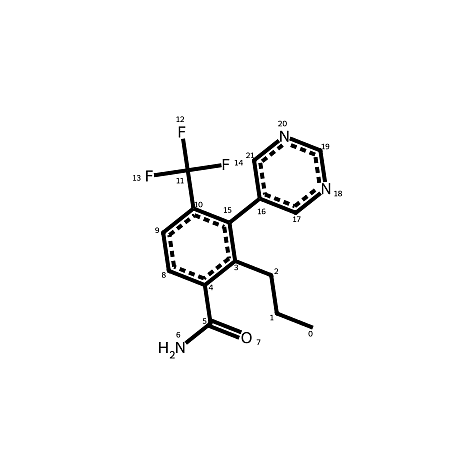 CCCc1c(C(N)=O)ccc(C(F)(F)F)c1-c1cncnc1